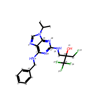 CC(C)n1cnc2c(NCc3ccccc3)nc(NCC(O)(CF)C(F)(F)F)nc21